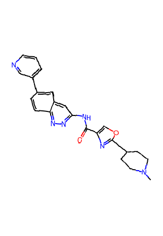 CN1CCC(c2nc(C(=O)Nc3cc4cc(-c5cccnc5)ccc4nn3)co2)CC1